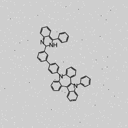 c1ccc(C2=c3ccccc3=NC(c3cccc(-c4ccc(N5c6ccccc6-c6c(n(-c7ccccc7)c7ccccc67)-c6ccccc65)cc4)c3)N2)cc1